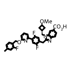 CO[C@H]1C[C@@H](Cn2c(Cc3cc(F)c(-c4cccc(OCc5ccc(C)cc5F)n4)cc3F)nc3ccc(C(=O)O)cc32)C1